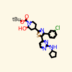 CC(C)(C)OC(=O)N1CCC(c2nc(-c3cccc(Cl)c3)c(-c3ccnc(NC4CCCC4)n3)s2)CC1O